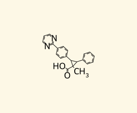 CC1(C(=O)O)C(c2ccccc2)C1c1ccc(-c2ncccn2)cc1